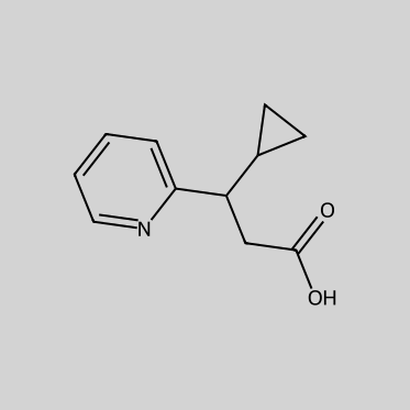 O=C(O)CC(c1ccccn1)C1CC1